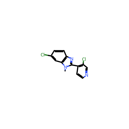 Cn1c(-c2ccncc2Cl)nc2ccc(Cl)cc21